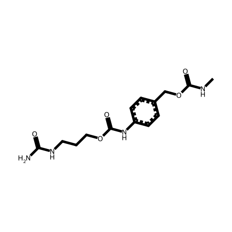 CNC(=O)OCc1ccc(NC(=O)OCCCNC(N)=O)cc1